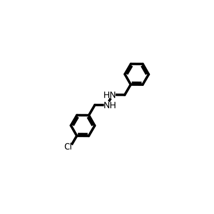 Clc1ccc(CNNCc2ccccc2)cc1